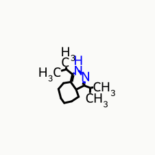 CC(C)C1=NNC(C(C)C)=C2CCCCCCC12